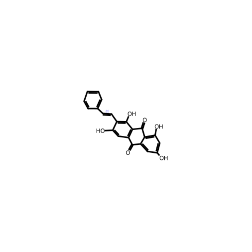 O=C1c2cc(O)cc(O)c2C(=O)c2c1cc(O)c(/C=C/c1ccccc1)c2O